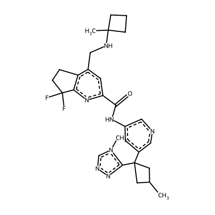 CC1CC(c2cncc(NC(=O)c3cc(CNC4(C)CCC4)c4c(n3)C(F)(F)CC4)c2)(c2nncn2C)C1